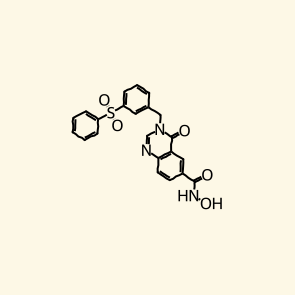 O=C(NO)c1ccc2ncn(Cc3cccc(S(=O)(=O)c4ccccc4)c3)c(=O)c2c1